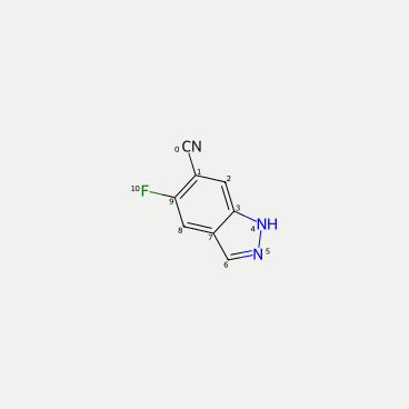 N#Cc1cc2[nH]ncc2cc1F